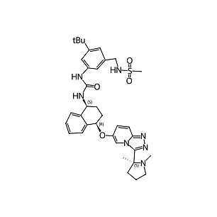 CN1CCC[C@@]1(C)c1nnc2ccc(O[C@@H]3CC[C@H](NC(=O)Nc4cc(CNS(C)(=O)=O)cc(C(C)(C)C)c4)c4ccccc43)cn12